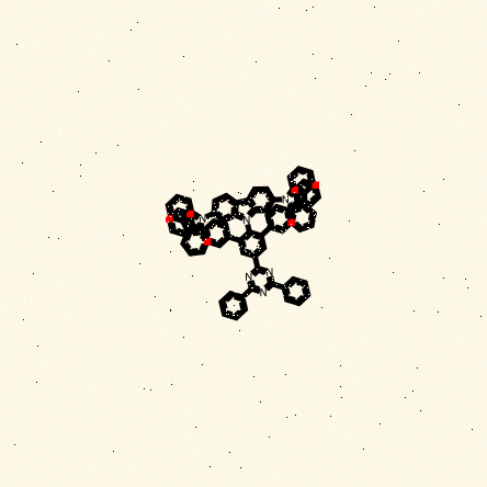 c1ccc(-c2ccc(-c3cc(-c4nc(-c5ccccc5)nc(-c5ccccc5)n4)cc(-c4ccc(-c5ccccc5)cc4)c3-n3c4cc(-n5c6ccccc6c6ccccc65)ccc4c4ccc(-n5c6ccccc6c6ccccc65)cc43)cc2)cc1